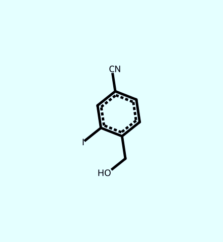 N#Cc1ccc(CO)c(I)c1